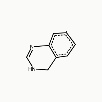 [c]1ccc2c(c1)N=CNC2